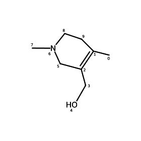 CC1=C(CO)CN(C)CC1